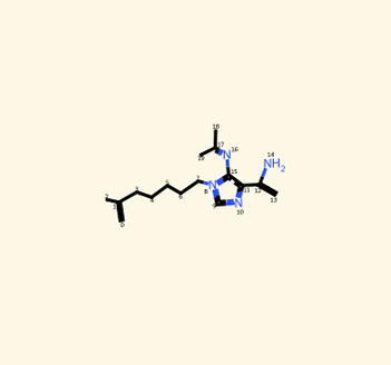 C=C(C)CCCCCn1cnc(C(=C)N)c1N=C(C)C